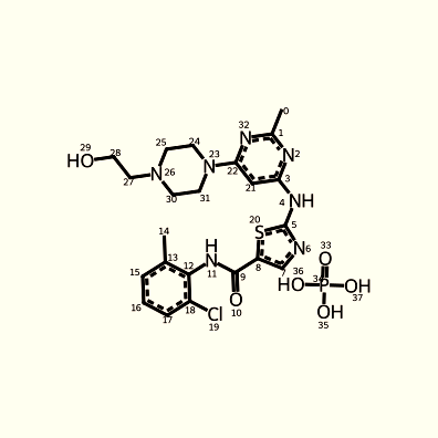 Cc1nc(Nc2ncc(C(=O)Nc3c(C)cccc3Cl)s2)cc(N2CCN(CCO)CC2)n1.O=P(O)(O)O